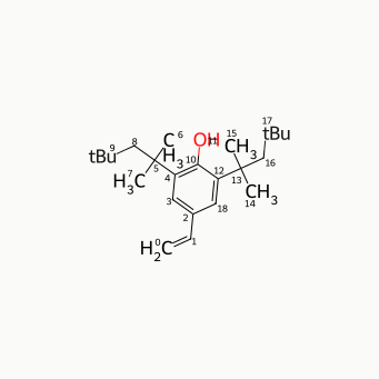 C=Cc1cc(C(C)(C)CC(C)(C)C)c(O)c(C(C)(C)CC(C)(C)C)c1